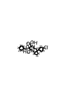 O=C(O)c1nc(CC2(c3ccc(Cl)cc3)CCCC2)nc(O)c1OCc1ccccc1